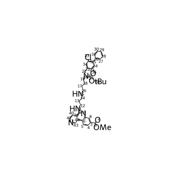 COC(=O)c1ccc2c(c1)nc(NCCCNCCCCN(Cc1ccc(-c3ccccc3)c(Cl)c1)C(=O)OC(C)(C)C)c1ccncc12